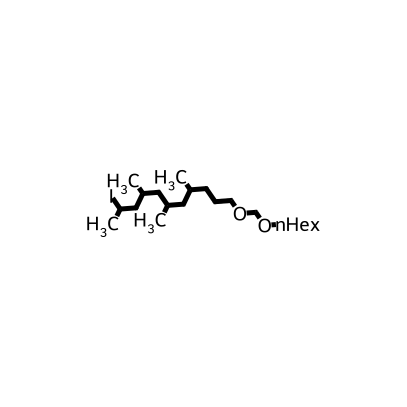 CCCCCCOCOCCCC(C)CC(C)CC(C)CC(C)I